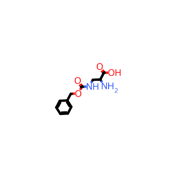 NC(CNC(=O)OCc1ccccc1)C(=O)O